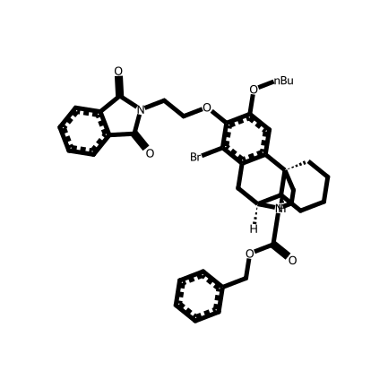 CCCCOc1cc2c(c(Br)c1OCCN1C(=O)c3ccccc3C1=O)C[C@H]1[C@H]3CCCC[C@@]23CCN1C(=O)OCc1ccccc1